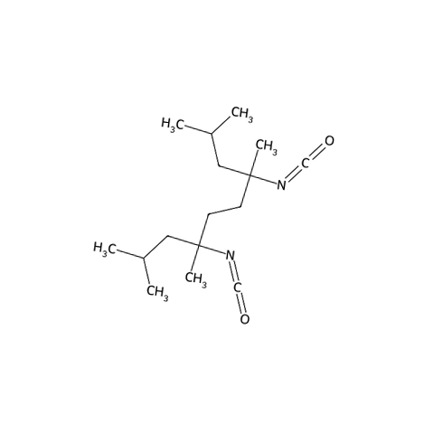 CC(C)CC(C)(CCC(C)(CC(C)C)N=C=O)N=C=O